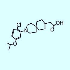 CC(C)Oc1ccc(Cl)c(N2CCC3(CCC(CC(=O)O)CC3)CC2)c1